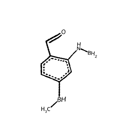 BNc1cc(BC)ccc1C=O